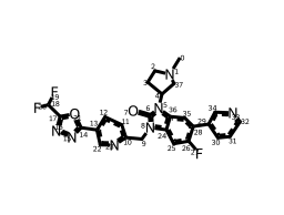 CN1CCC(n2c(=O)n(Cc3ccc(-c4nnc(C(F)F)o4)cn3)c3cc(F)c(-c4cccnc4)cc32)C1